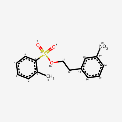 Cc1ccccc1S(=O)(=O)OCCc1cccc([N+](=O)[O-])c1